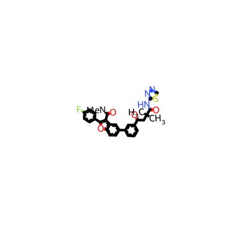 CNC(=O)c1c(-c2ccc(F)cc2)oc2ccc(-c3cccc(C(=O)CC(C)(C)C(=O)Nc4nncs4)c3)cc12